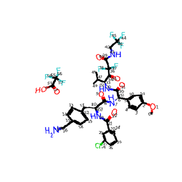 COc1ccc([C@H](NC(=O)[C@H](Cc2ccc(CN)cc2)NC(=O)c2cccc(Cl)c2)C(=O)N[C@H](C(=O)C(F)(F)C(=O)NCC(F)(F)F)C(C)C)cc1.O=C(O)C(F)(F)F